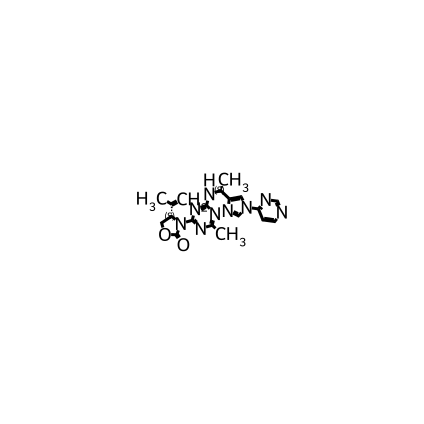 C=C(C)[C@H]1COC(=O)N1c1nc(C)nc(N[C@@H](C)c2cn(-c3ccncn3)cn2)n1